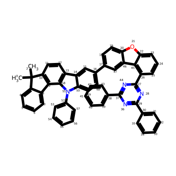 CC1(C)c2ccccc2-c2c1ccc1c3cc(-c4ccc5oc6cccc(-c7nc(-c8ccccc8)nc(-c8ccccc8)n7)c6c5c4)ccc3n(-c3ccccc3)c21